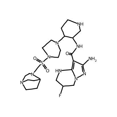 Nc1nn2c(c1C(=O)NC1CNCCC1N1CCN(S(=O)(=O)N3CCN4CCC3CC4)CC1)NCC(F)C2